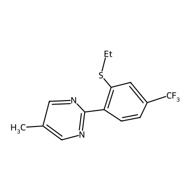 CCSc1cc(C(F)(F)F)ccc1-c1ncc(C)cn1